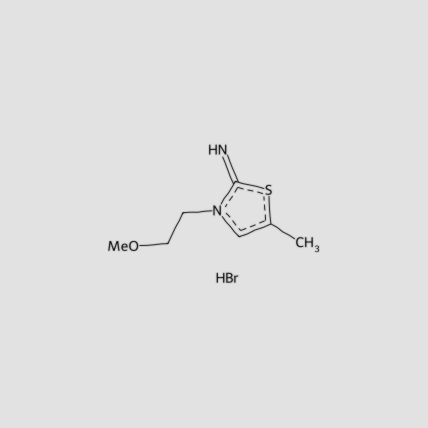 Br.COCCn1cc(C)sc1=N